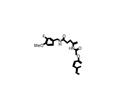 C=C(CCC(=O)NCc1ccc(OC)c(F)c1)NC(=O)COC(=C)/C=C\C(C)=C\C